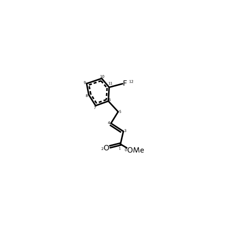 COC(=O)C=CCc1ccccc1F